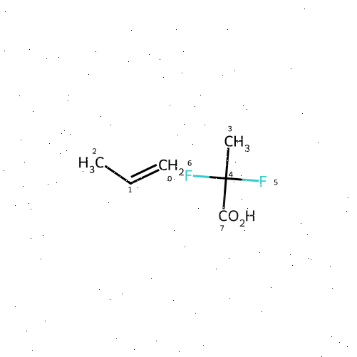 C=CC.CC(F)(F)C(=O)O